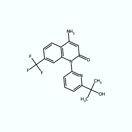 CC(C)(O)c1cccc(-n2c(=O)cc(N)c3ccc(C(F)(F)F)cc32)n1